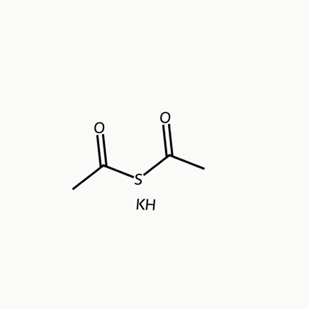 CC(=O)SC(C)=O.[KH]